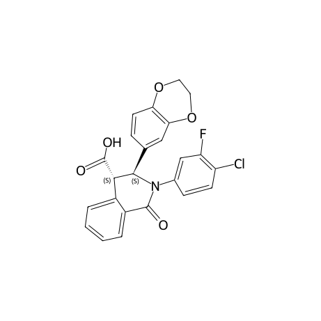 O=C(O)[C@H]1c2ccccc2C(=O)N(c2ccc(Cl)c(F)c2)[C@@H]1c1ccc2c(c1)OCCO2